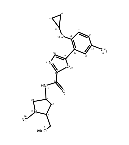 COCC1CC(NC(=O)c2ncc(-c3cc(C(F)(F)F)ccc3OC3CC3)o2)CN1C#N